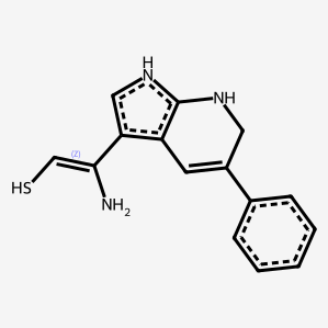 N/C(=C\S)c1c[nH]c2c1C=C(c1ccccc1)CN2